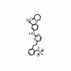 CN(c1ccccc1CCc1ccnc(Nc2ccc(N3CCCCC3=O)c(C#N)c2)n1)S(C)(=O)=O